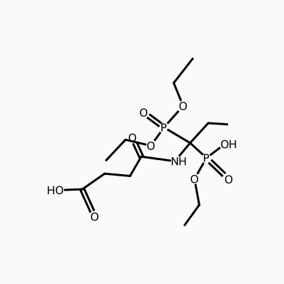 CCOP(=O)(O)C(CC)(NC(=O)CCC(=O)O)P(=O)(OCC)OCC